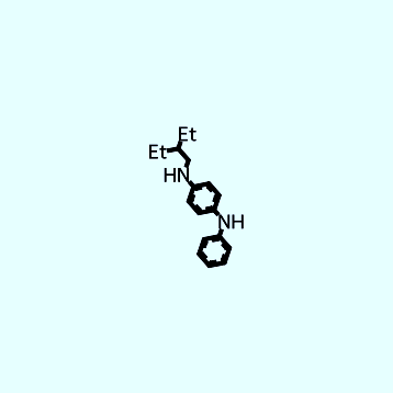 CCC(CC)CNc1ccc(Nc2ccccc2)cc1